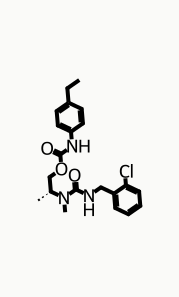 CCc1ccc(NC(=O)OC[C@@H](C)N(C)C(=O)NCc2ccccc2Cl)cc1